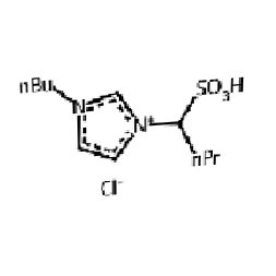 CCCCn1cc[n+](C(CCC)S(=O)(=O)O)c1.[Cl-]